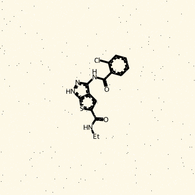 CCNC(=O)c1cc2c(NC(=O)c3ccccc3Cl)n[nH]c2s1